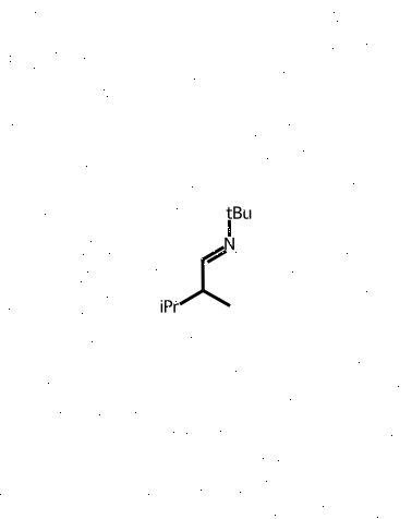 CC(C)C(C)/C=N/C(C)(C)C